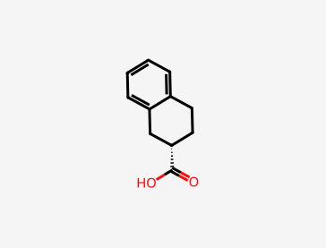 O=C(O)[C@H]1CCc2ccccc2C1